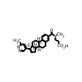 Cc1cc(C2=CC[C@H]3[C@@H]4CCc5cc(C(=O)N(C)CCC(=O)O)ccc5[C@H]4CC[C@]23C)cnn1